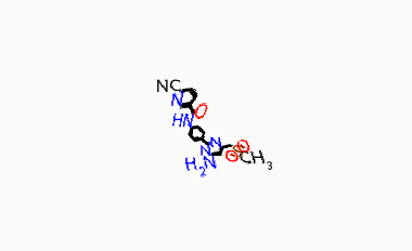 CS(=O)(=O)Cc1cc(N)nc(-c2ccc(NC(=O)c3ccc(C#N)nc3)cc2)n1